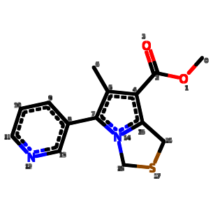 COC(=O)c1c(C)c(-c2cccnc2)n2c1CSC2